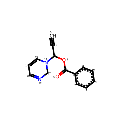 C#CC(OC(=O)c1ccccc1)N1C=CC=NC1